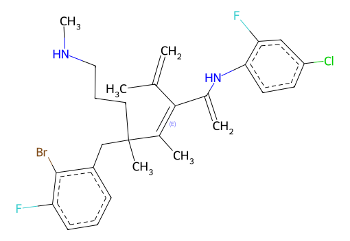 C=C(C)/C(C(=C)Nc1ccc(Cl)cc1F)=C(/C)C(C)(CCCNC)Cc1cccc(F)c1Br